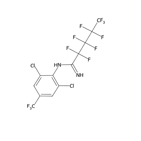 N=C(Nc1c(Cl)cc(C(F)(F)F)cc1Cl)C(F)(F)C(F)(F)C(F)(F)C(F)(F)F